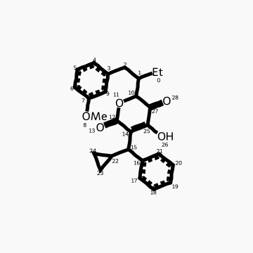 CCC(Cc1cccc(OC)c1)C1OC(=O)C(C(c2ccccc2)C2CC2)=C(O)C1=O